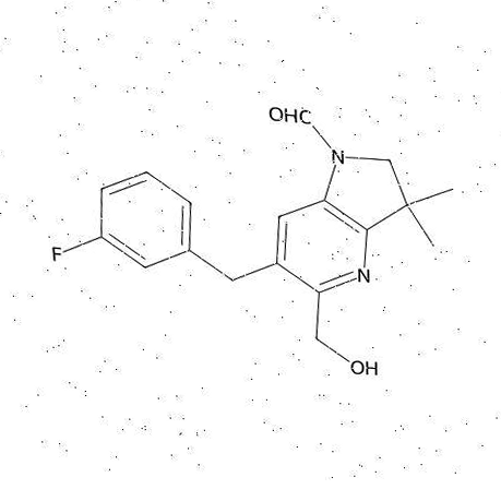 CC1(C)CN(C=O)c2cc(Cc3cccc(F)c3)c(CO)nc21